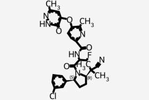 Cc1cc(Oc2ccc(C(=O)NC(CF)C(=O)N3[C@H](c4cccc(Cl)c4)CC[C@@H]3C(C)(C)C#N)nc2C)c(=O)[nH]n1